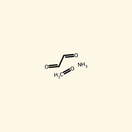 C=O.N.O=CC=O